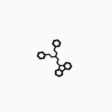 c1ccc(CC[C](CCc2ccccc2)CCC2c3ccccc3-c3ccccc32)cc1